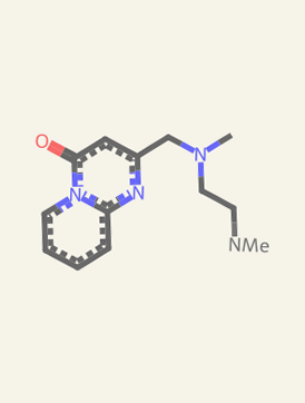 CNCCN(C)Cc1cc(=O)n2ccccc2n1